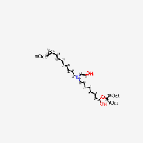 CCCCCCCCC(CCCCCCCC)OC(O)CCCCCCCN(CCO)CCCCCCCCC1CC1CCCCCCCC